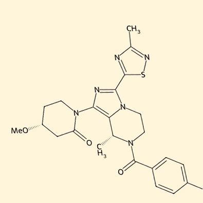 CO[C@@H]1CCN(c2nc(-c3nc(C)ns3)n3c2[C@@H](C)N(C(=O)c2ccc(F)cc2)CC3)C(=O)C1